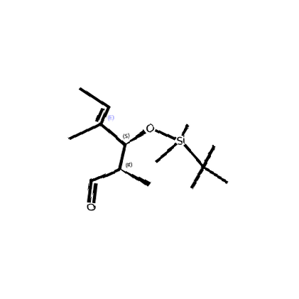 C/C=C(\C)[C@@H](O[Si](C)(C)C(C)(C)C)[C@@H](C)C=O